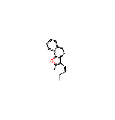 CC/C=C\c1c(C)oc2c1ccc1ccccc12